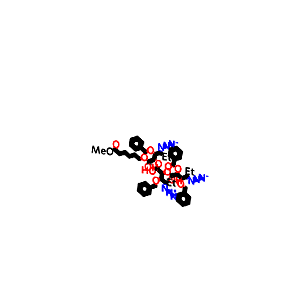 CCC(N=[N+]=[N-])C(OCc1ccccc1)C(O[C@@H](O)C(O[C@@H](O)C(OC(=O)c1ccccc1)C(OCc1ccccc1)C(CC)N=[N+]=[N-])C(OCc1ccccc1)C(CC)N=[N+]=[N-])[C@H](O)OCCCCCC(=O)OC